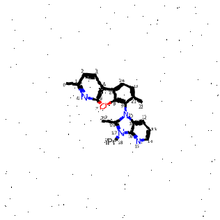 Cc1ccc2c(n1)oc1c(N3c4cccnc4N(C(C)C)C3C)c(C)ccc12